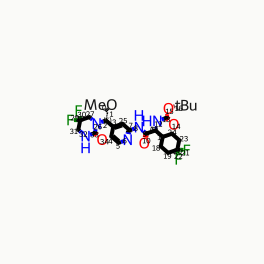 COC[C@H](c1ccnc(NC(=O)[C@@H](NC(=O)OC(C)(C)C)C2CCC(F)(F)CC2)c1)N1CC(F)(F)CNC1=O